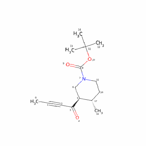 CC#CC(=O)[C@H]1CN(C(=O)OC(C)(C)C)CC[C@@H]1C